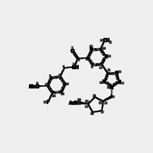 COc1cc(CNC(=O)c2cc(-c3nnn(C[C@H]4CC[C@@H](NC(C)=O)C4)n3)nc(C)n2)ccc1F